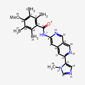 Bc1c(B)c(C(=O)Nc2cc3cc(-c4cncn4C)ncc3cn2)c(B)c(B)c1OC